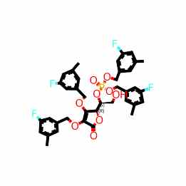 Cc1cc(F)cc(COC2=C(OCc3cc(C)cc(F)c3)[C@@H]([C@H](CO)OP(=O)(OCc3cc(C)cc(F)c3)OCc3cc(C)cc(F)c3)OC2=O)c1